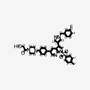 Cc1ccc(S(=O)(=O)n2cc(-c3cnn(Cc4cccc(F)c4)c3)c3cc(-c4ccc(N5CCN(C(=O)CO)CC5)cc4)cnc32)cc1